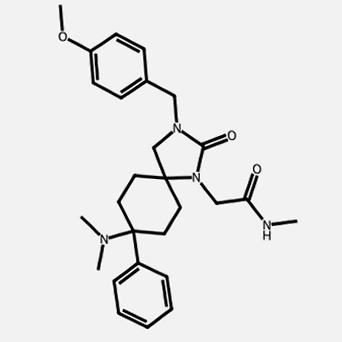 CNC(=O)CN1C(=O)N(Cc2ccc(OC)cc2)CC12CCC(c1ccccc1)(N(C)C)CC2